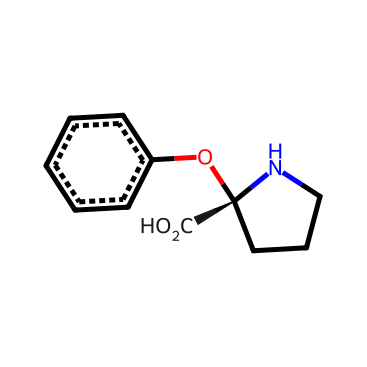 O=C(O)[C@]1(Oc2ccccc2)CCCN1